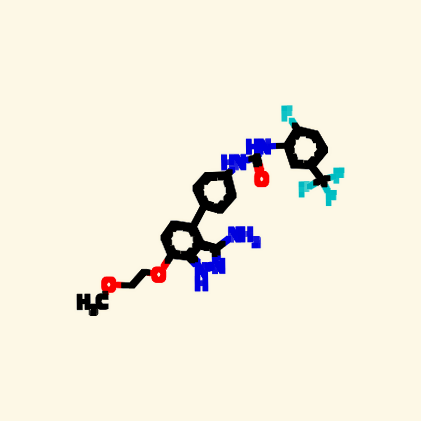 COCCOc1ccc(-c2ccc(NC(=O)Nc3cc(C(F)(F)F)ccc3F)cc2)c2c(N)n[nH]c12